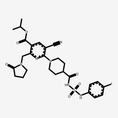 CC(C)OC(=O)c1cc(C#N)c(N2CCC(C(=O)NS(=O)(=O)Nc3ccc(F)cc3)CC2)nc1CN1CCCC1=O